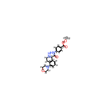 CC(C)(C)OOC(=O)c1ccc(NC(=O)[C@@H]2NCCc3c2cccc3N2CCOCC2)cc1